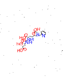 O=C(O)CCC(NC(=O)NC(CCCCN(CC(=O)O)Cc1ccccn1)C(=O)O)C(=O)O